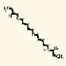 CCC(=O)COCCCCCOCCCCCNC(=O)CC